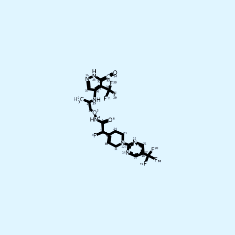 CC(CONC(=O)C(F)C1=CCN(c2ncc(C(F)(F)F)cn2)CC1)NC1=C(C(F)(F)F)C(=C=O)NN=C1